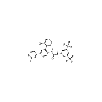 Cc1cc(-c2cc(-c3ccccc3Cl)c(N(C)C(=O)C(C)(C)c3cc(C(F)(F)F)cc(C(F)(F)F)c3)cn2)ccn1